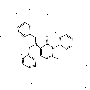 O=c1c(N(Cc2ccccc2)Cc2ccccc2)ccc(F)n1-c1ccccn1